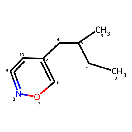 CCC(C)CC1=CON=C=C1